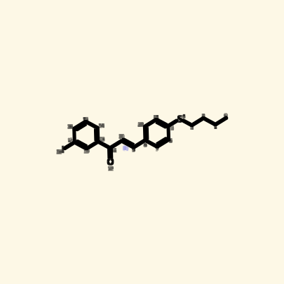 CCCCSc1ccc(/C=C/C(=O)c2cccc(I)c2)cc1